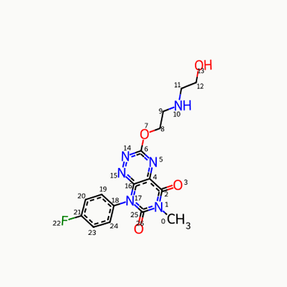 Cn1c(=O)c2nc(OCCNCCO)nnc2n(-c2ccc(F)cc2)c1=O